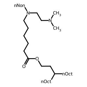 CCCCCCCCCN(CCCCCC(=O)OCCC(CCCCCCCC)CCCCCCCC)CCN(C)C